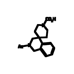 CC(=O)N1Cc2ccccc2C2(CCN(C(=O)O)CC2)C1